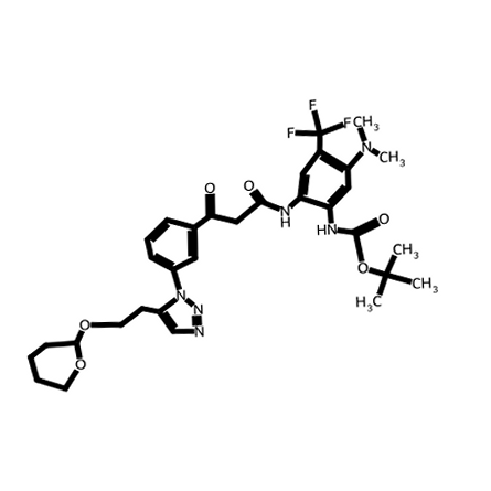 CN(C)c1cc(NC(=O)OC(C)(C)C)c(NC(=O)CC(=O)c2cccc(-n3nncc3CCOC3CCCCO3)c2)cc1C(F)(F)F